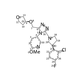 COc1ccc(-n2c(CO[C@H]3CCOC3)nnc2N2CC[C@@H](c3ccc(F)cc3Cl)C2)cn1